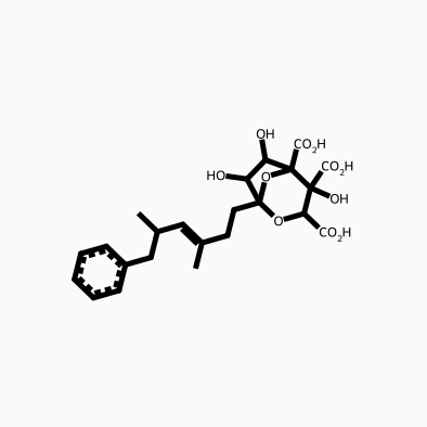 CC(=CC(C)Cc1ccccc1)CCC12OC(C(=O)O)C(O)(C(=O)O)C(C(=O)O)(O1)C(O)C2O